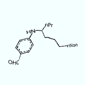 CCCCCCCCCCCCC(CCC)Nc1ccc(C=O)cc1